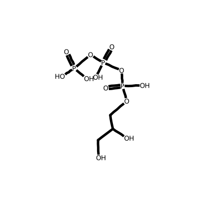 O=P(O)(O)OP(=O)(O)OP(=O)(O)OCC(O)CO